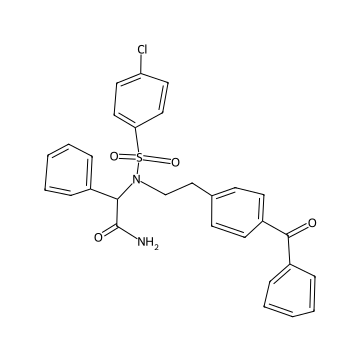 NC(=O)C(c1ccccc1)N(CCc1ccc(C(=O)c2ccccc2)cc1)S(=O)(=O)c1ccc(Cl)cc1